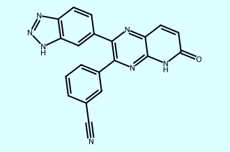 N#Cc1cccc(-c2nc3[nH]c(=O)ccc3nc2-c2ccc3nn[nH]c3c2)c1